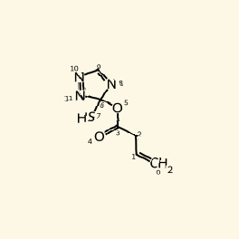 C=CCC(=O)OC1(S)N=CN=N1